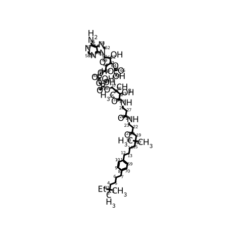 CCC(C)(C)CCCCc1ccc(CCCCC(C)(C)CC(=O)CCNC(=O)CCNC(=O)C(O)C(C)(C)COP(=O)(O)OP(=O)(O)OCC2OC(n3cnc4c(N)ncnc43)C(O)C2OP(=O)(O)O)cc1